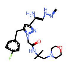 C=NN/C=C(\N)c1cc(Cc2ccc(F)cc2)n(CC(=O)NC(C)(C)CN2CCOCC2)n1